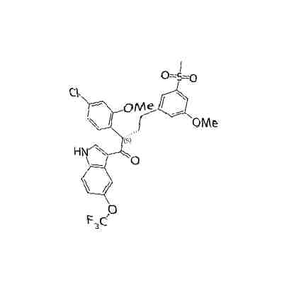 COc1cc(CC[C@H](C(=O)c2c[nH]c3ccc(OC(F)(F)F)cc23)c2ccc(Cl)cc2OC)cc(S(C)(=O)=O)c1